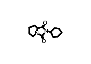 O=C1C2CCCCN2C(=O)N1C1CCCCC1